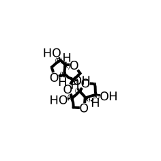 O[C@@H]1CO[C@H]2[C@@H]1OC[C@]2(O)O[C@@]1(O)CO[C@@H]2[C@H](O)CO[C@@H]21